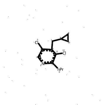 CCCc1n[c]c(Cl)c(CC2CC2)c1Cl